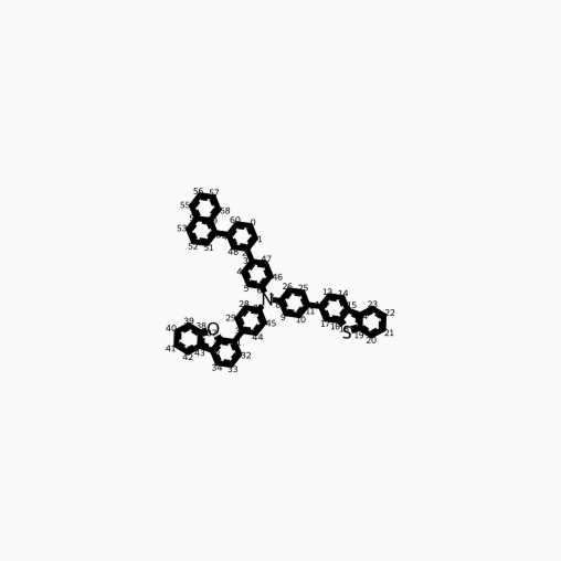 c1cc(-c2ccc(N(c3ccc(-c4ccc5c(c4)sc4ccccc45)cc3)c3ccc(-c4cccc5c4oc4ccccc45)cc3)cc2)cc(-c2cccc3ccccc23)c1